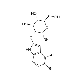 OC[C@H]1O[C@H](O)[C@H](Oc2cc3c(Cl)c(Br)ccc3[nH]2)[C@@H](O)[C@@H]1O